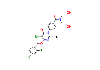 Cc1nc(OCc2ccc(F)cc2F)c(Br)c(=O)n1-c1ccc(C(=O)N(CCO)CCO)cc1